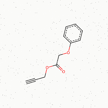 C#CCOC(=O)COc1ccccc1